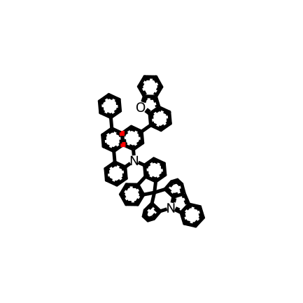 c1ccc(-c2ccc(-c3ccccc3N(c3cccc(-c4cccc5c4oc4ccccc45)c3)c3cccc4c3-c3ccccc3C43c4ccccc4-n4c5ccccc5c5cccc3c54)cc2)cc1